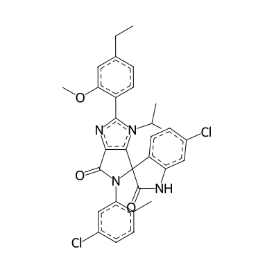 CCc1ccc(-c2nc3c(n2C(C)C)C2(C(=O)Nc4cc(Cl)ccc42)N(c2cc(Cl)ccc2C)C3=O)c(OC)c1